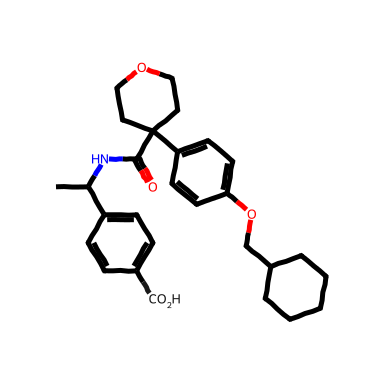 CC(NC(=O)C1(c2ccc(OCC3CCCCC3)cc2)CCOCC1)c1ccc(C(=O)O)cc1